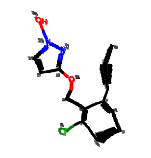 CC#Cc1cccc(Cl)c1COc1ccn(O)n1